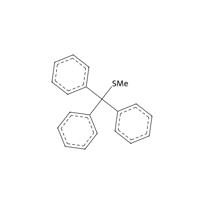 [CH2]SC(c1ccccc1)(c1ccccc1)c1ccccc1